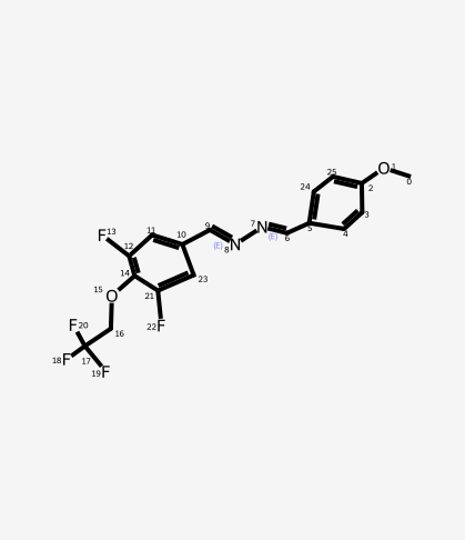 COc1ccc(/C=N/N=C/c2cc(F)c(OCC(F)(F)F)c(F)c2)cc1